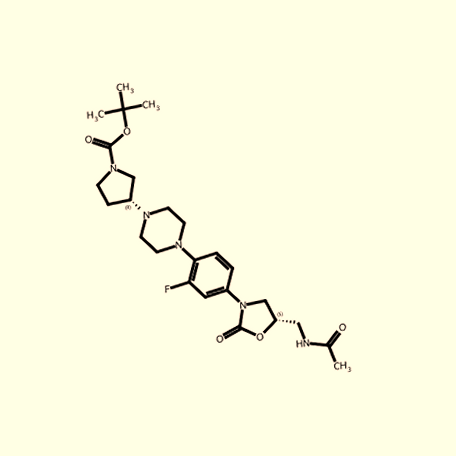 CC(=O)NC[C@H]1CN(c2ccc(N3CCN([C@@H]4CCN(C(=O)OC(C)(C)C)C4)CC3)c(F)c2)C(=O)O1